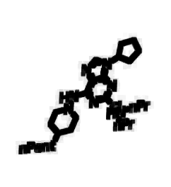 CCCCCC1CCN(Nc2nc(Cl)nc3c2ncn3C2CCCC2)CC1.CCCNCCC